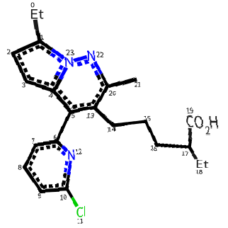 CCc1ccc2c(-c3cccc(Cl)n3)c(CCCC(CC)C(=O)O)c(C)nn12